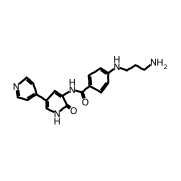 NCCCNc1ccc(C(=O)Nc2cc(-c3ccncc3)c[nH]c2=O)cc1